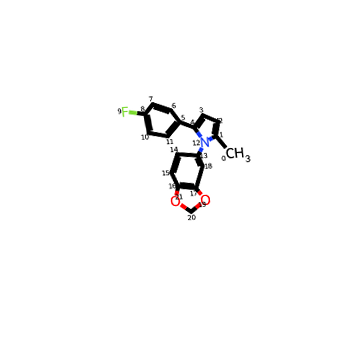 Cc1[c]cc(-c2ccc(F)cc2)n1-c1ccc2c(c1)OCO2